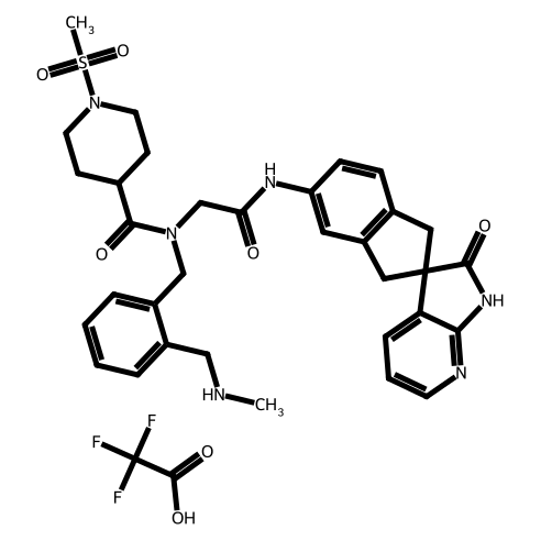 CNCc1ccccc1CN(CC(=O)Nc1ccc2c(c1)CC1(C2)C(=O)Nc2ncccc21)C(=O)C1CCN(S(C)(=O)=O)CC1.O=C(O)C(F)(F)F